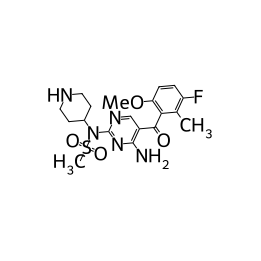 COc1ccc(F)c(C)c1C(=O)c1cnc(N(C2CCNCC2)S(C)(=O)=O)nc1N